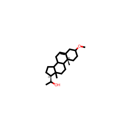 COC1CC[C@@]2(C)C(=CCC3C4CC[C@H](C(C)O)C4(C)CCC32)C1